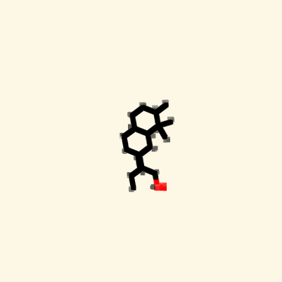 CCC(CO)=C1CCC2CCC(C)C(C)(C)C2C1